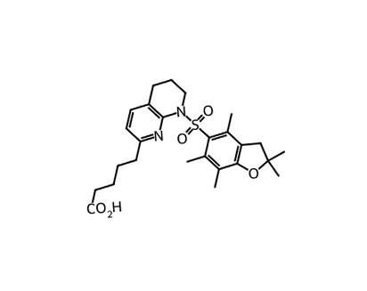 Cc1c(C)c(S(=O)(=O)N2CCCc3ccc(CCCCC(=O)O)nc32)c(C)c2c1OC(C)(C)C2